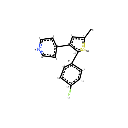 Cc1cc(-c2ccncc2)c(-c2ccc(F)cc2)s1